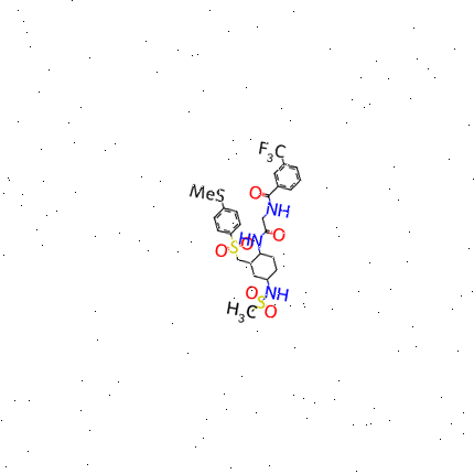 CSc1ccc(S(=O)(=O)CC2CC(NS(C)(=O)=O)CCC2NC(=O)CNC(=O)c2cccc(C(F)(F)F)c2)cc1